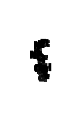 CCn1cnc(-c2cc3nccc(Oc4ccc(NC(=O)C5(C(=O)N(C)c6ccccc6F)CC5)cc4F)c3s2)c1